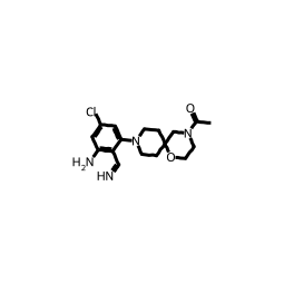 CC(=O)N1CCOC2(CCN(c3cc(Cl)cc(N)c3C=N)CC2)C1